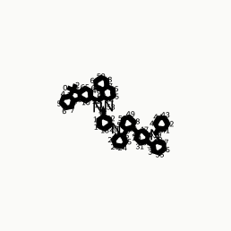 CC1(C)c2ccccc2-c2cc(-c3nc(-c4cccc(-n5c6ccccc6c6c(-c7ccc8c9ccccc9n(-c9ccccc9)c8c7)cccc65)c4)nc4ccc5ccccc5c34)ccc21